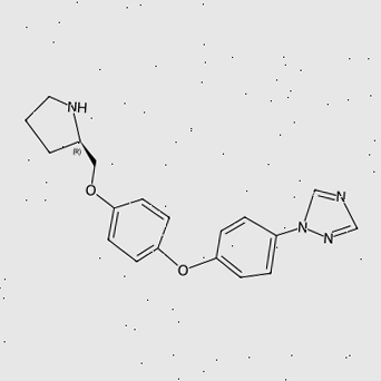 c1ncn(-c2ccc(Oc3ccc(OC[C@H]4CCCN4)cc3)cc2)n1